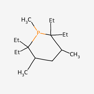 CCC1(CC)C(C)CC(C)C(CC)(CC)P1C